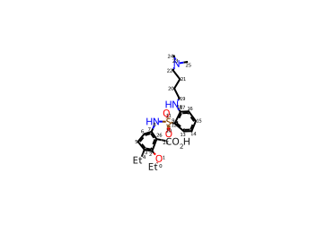 CCOc1c(CC)ccc(NS(=O)(=O)c2ccccc2NCCCCN(C)C)c1C(=O)O